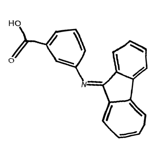 O=C(O)c1cccc(N=C2c3ccccc3-c3ccccc32)c1